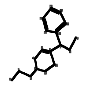 CCCC1CC=C(C(CC)c2ccccc2)CC1